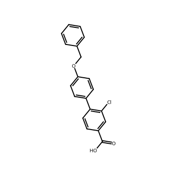 O=C(O)c1ccc(-c2ccc(OCc3ccccc3)cc2)c(Cl)c1